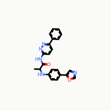 CC(Nc1ccc(-c2cnco2)cc1)C(=O)Nc1ccc(-c2ccccc2)nn1